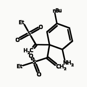 C=C(C1(C(=C)S(=O)(=O)CC)C=C(CCCC)C=CC1N)S(=O)(=O)CC